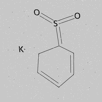 O=S(=O)=C1C=CC=CC1.[K]